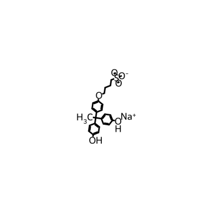 CC(c1ccc(O)cc1)(c1ccc(O)cc1)c1ccc(OCCCCS(=O)(=O)[O-])cc1.[Na+]